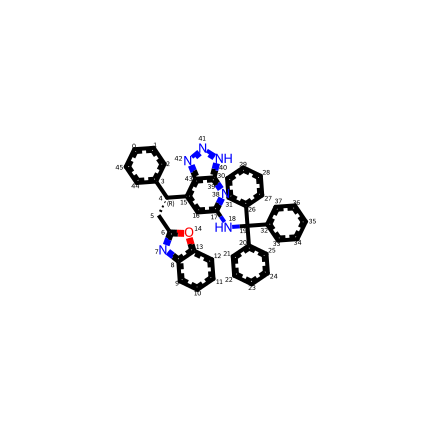 c1ccc([C@@H](Cc2nc3ccccc3o2)c2cc(NC(c3ccccc3)(c3ccccc3)c3ccccc3)nc3[nH]nnc23)cc1